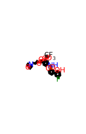 O=C(OCCCN1CCOCC1)c1ccc(NS(=O)(=O)c2cccc(-c3cc(F)ccc3O)c2)cc1OC(=O)C(F)(F)F